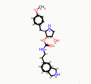 COc1ccc(C[C@H]2NC[C@H](O)[C@H]2OC(=O)NCCc2ccc3c(c2)CNC3)cc1